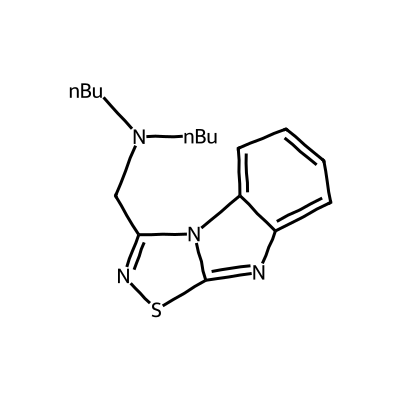 CCCCN(CCCC)Cc1nsc2nc3ccccc3n12